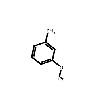 Cc1[c]c(OC(C)C)ccc1